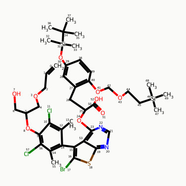 C=CCOCC(CO)Oc1c(Cl)c(C)c(-c2c(Br)sc3ncnc(OC(Cc4cc(O[Si](C)(C)C(C)(C)C)ccc4OCOCC[Si](C)(C)C)C(=O)O)c23)c(C)c1Cl